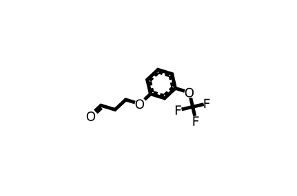 O=CCCOc1cccc(OC(F)(F)F)c1